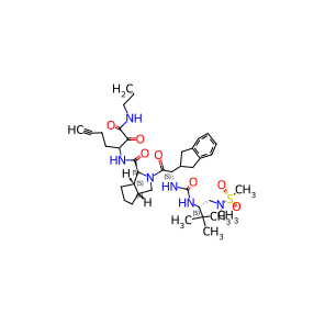 C#CCCC(NC(=O)[C@@H]1[C@H]2CCC[C@H]2CN1C(=O)[C@@H](NC(=O)N[C@H](CN(C)S(C)(=O)=O)C(C)(C)C)C1Cc2ccccc2C1)C(=O)C(=O)NCC=C